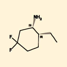 CC[C@@H]1CCC(F)(F)C[C@@H]1N